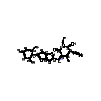 CCN1C(=O)C(C#N)=C(C)/C(=C/c2cc3oc(-c4c(C)cc(C)cc4C)cc3s2)C1=O